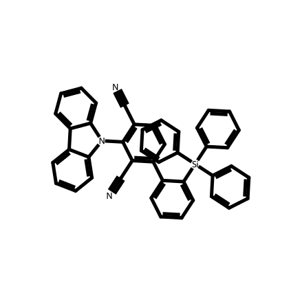 N#Cc1ccc(-c2ccccc2[Si](c2ccccc2)(c2ccccc2)c2ccccc2)c(C#N)c1-n1c2ccccc2c2ccccc21